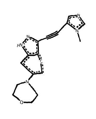 Cn1cncc1C#Cc1n[nH]c2cc(N3CCOCC3)ccc12